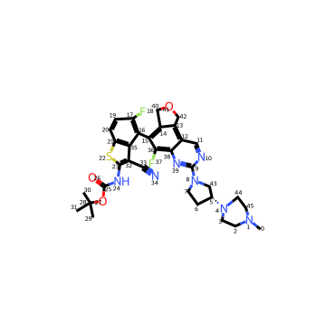 CN1CCN([C@@H]2CCN(c3ncc4c5c(c(-c6c(F)ccc7sc(NC(=O)OC(C)(C)C)c(C#N)c67)c(F)c4n3)COC5)C2)CC1